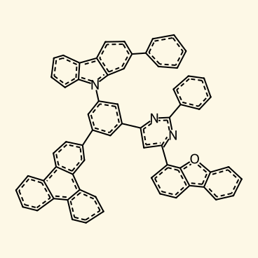 c1ccc(-c2ccc3c4ccccc4n(-c4cc(-c5ccc6c7ccccc7c7ccccc7c6c5)cc(-c5cc(-c6cccc7c6oc6ccccc67)nc(-c6ccccc6)n5)c4)c3c2)cc1